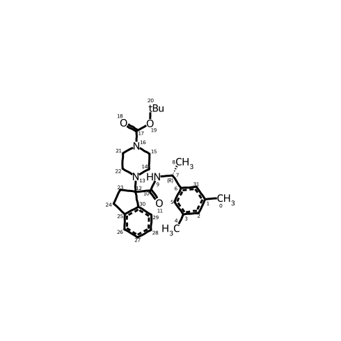 Cc1cc(C)cc([C@@H](C)NC(=O)C2(N3CCN(C(=O)OC(C)(C)C)CC3)CCc3ccccc32)c1